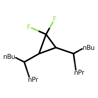 CCCCC(CCC)C1C(C(CCC)CCCC)C1(F)F